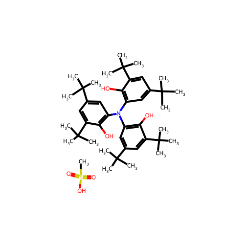 CC(C)(C)c1cc(N(c2cc(C(C)(C)C)cc(C(C)(C)C)c2O)c2cc(C(C)(C)C)cc(C(C)(C)C)c2O)c(O)c(C(C)(C)C)c1.CS(=O)(=O)O